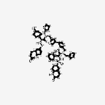 O=C([C@@H](NSc1ccc2[nH]c(=O)ccc2c1)c1ccc(Cl)cc1)N(Cc1cc(-c2csc(CN(Cc3ccco3)C(=O)[C@@H](NS(=O)(=O)c3ccc4[nH]c(=O)ccc4c3)c3ccccc3Cl)c2)co1)Cc1cccs1